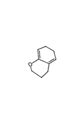 C1=C2CCCOC2=CCC1